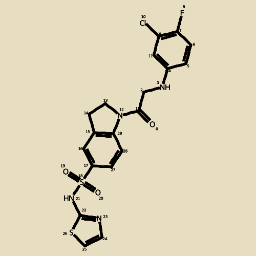 O=C(CNc1ccc(F)c(Cl)c1)N1CCc2cc(S(=O)(=O)Nc3nccs3)ccc21